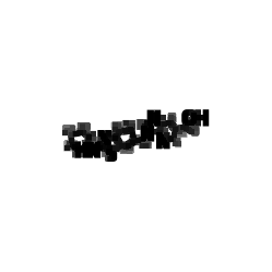 CC(O)c1cnc2c(c1)ncn2Cc1ccc2nc(NC3CCCCC3)sc2c1